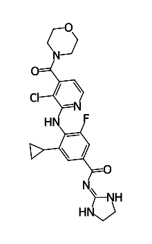 O=C(N=C1NCCN1)c1cc(F)c(Nc2nccc(C(=O)N3CCOCC3)c2Cl)c(C2CC2)c1